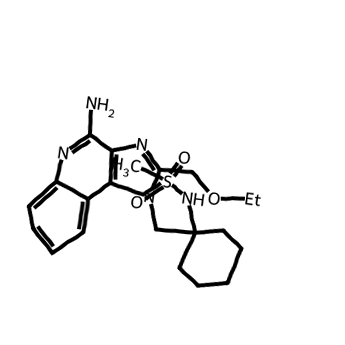 CCOCc1nc2c(N)nc3ccccc3c2n1CC1(NS(C)(=O)=O)CCCCC1